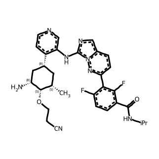 CC(C)NC(=O)c1ccc(F)c(-c2ccc3cnc(Nc4cnccc4[C@H]4C[C@@H](N)[C@@H](OCCC#N)[C@@H](C)C4)n3n2)c1F